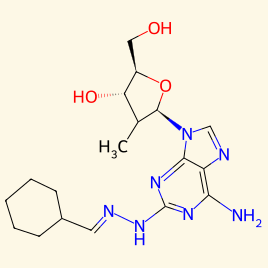 CC1[C@H](n2cnc3c(N)nc(N/N=C/C4CCCCC4)nc32)O[C@H](CO)[C@H]1O